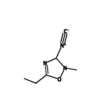 [C-]#[N+]C1N=C(CC)ON1C